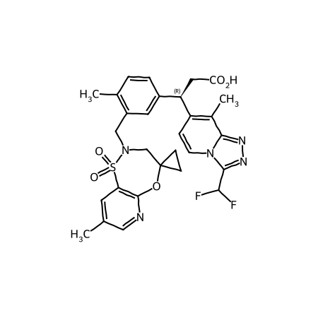 Cc1cnc2c(c1)S(=O)(=O)N(Cc1cc([C@@H](CC(=O)O)c3ccn4c(C(F)F)nnc4c3C)ccc1C)CC1(CC1)O2